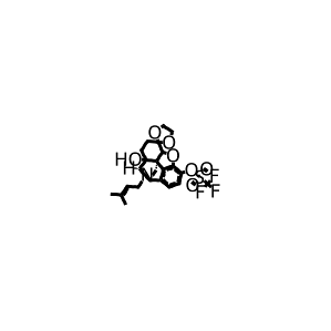 CC(C)=CCN1CC[C@@]23c4c5ccc(OS(=O)(=O)C(F)(F)F)c4OC2C2(CCC3(O)[C@@H]1C5)OCCO2